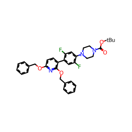 CC(C)(C)OC(=O)N1CCN(c2cc(F)c(-c3ccc(OCc4ccccc4)nc3OCc3ccccc3)cc2F)CC1